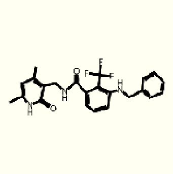 Cc1cc(C)c(CNC(=O)c2cccc(NCc3ccccc3)c2C(F)(F)F)c(=O)[nH]1